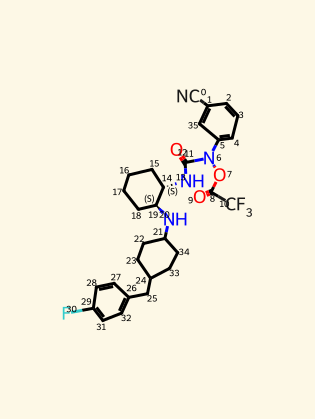 N#Cc1cccc(N(OC(=O)C(F)(F)F)C(=O)N[C@H]2CCCC[C@@H]2NC2CCC(Cc3ccc(F)cc3)CC2)c1